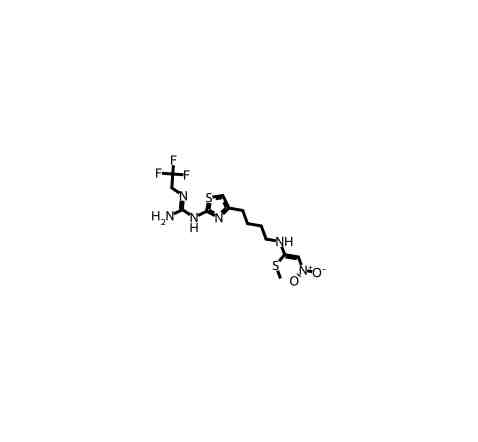 CSC(=C[N+](=O)[O-])NCCCCc1csc(NC(N)=NCC(F)(F)F)n1